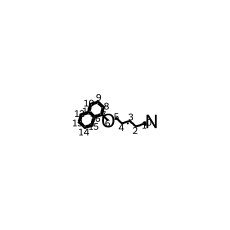 N#CCC[CH]COc1cccc2ccccc12